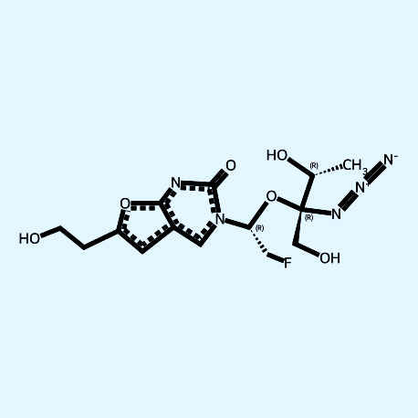 C[C@@H](O)[C@](CO)(N=[N+]=[N-])O[C@H](CF)n1cc2cc(CCO)oc2nc1=O